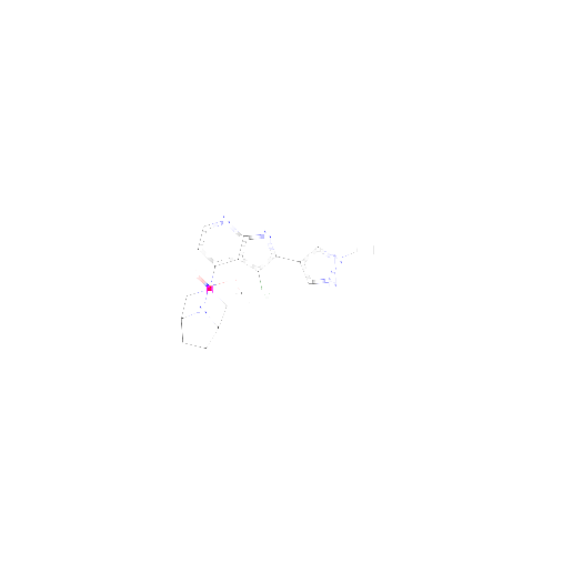 Cn1cc(-c2[nH]c3nccc(N4CC5CCC(C4)N5C(=O)OC(C)(C)C)c3c2Br)cn1